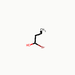 C=CCC(O)Br